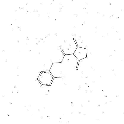 O=C1CCC(=O)C1C(=O)CCc1ccccc1Cl